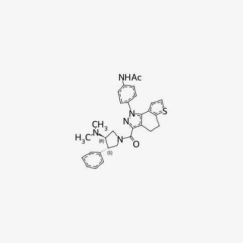 CC(=O)Nc1ccc(-n2nc(C(=O)N3C[C@H](c4ccccc4)[C@@H](N(C)C)C3)c3c2-c2ccsc2CC3)cc1